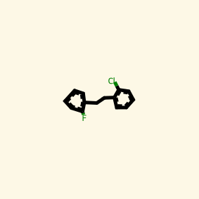 Fc1ccccc1C[CH]c1ccccc1Cl